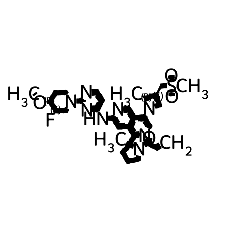 C=CC(=O)N1CCCC1(C)c1ncc(N2C[C@H](CS(C)(=O)=O)[C@H]2C)c2cnc(Nc3ccnc(N4CC[C@@H](OC)[C@@H](F)C4)n3)cc12